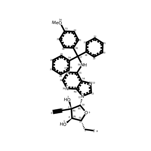 C#C[C@@]1(O)[C@H](O)[C@@H](CI)O[C@H]1n1cnc2c(NC(c3ccccc3)(c3ccccc3)c3ccc(OC)cc3)ncnc21